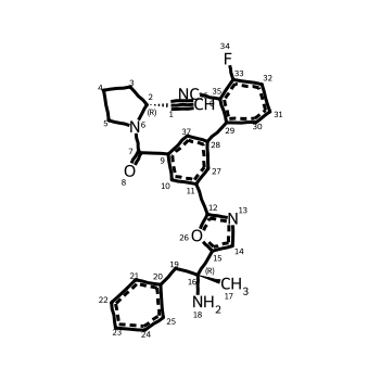 C#C[C@H]1CCCN1C(=O)c1cc(-c2ncc([C@](C)(N)Cc3ccccc3)o2)cc(-c2cccc(F)c2C#N)c1